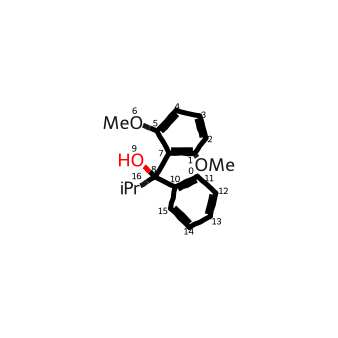 COc1cccc(OC)c1C(O)(c1ccccc1)C(C)C